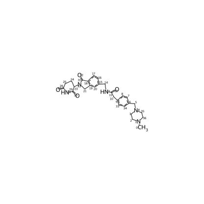 CN1CCN(Cc2ccc(CC(=O)NCc3ccc4c(c3)CN(C3CCC(=O)NC3=O)C4=O)cc2)CC1